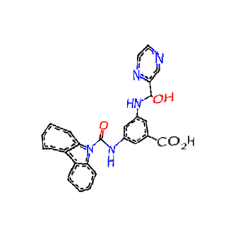 O=C(O)c1cc(NC(=O)n2c3ccccc3c3ccccc32)cc(NC(O)c2cnccn2)c1